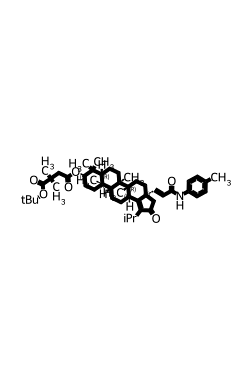 Cc1ccc(NC(=O)C=C[C@@]23CC[C@]4(C)[C@H](CC[C@@H]5[C@@]6(C)CC[C@H](OC(=O)CC(C)(C)C(=O)OC(C)(C)C)C(C)(C)[C@@H]6CC[C@]54C)C2=C(C(C)C)C(=O)C3)cc1